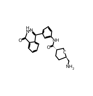 NC[C@H]1CC[C@H](C(=O)Nc2cccc(-c3n[nH]c(=O)c4ccccc34)c2)CC1